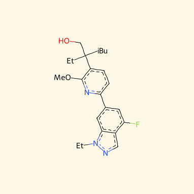 CCC(C)C(CC)(CO)c1ccc(-c2cc(F)c3cnn(CC)c3c2)nc1OC